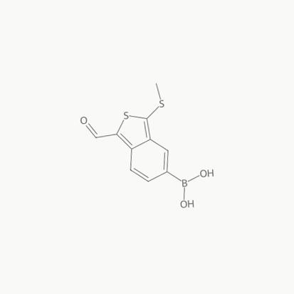 CSc1sc(C=O)c2ccc(B(O)O)cc12